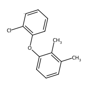 Cc1cccc(Oc2ccc[c]c2Cl)c1C